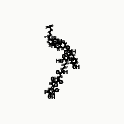 CC(C)CCC[C@@H](C)[C@H]1CC[C@H]2[C@@H]3CC=C4C[C@@H](OC(=O)NC(Cc5ccc(O)cc5)C(=O)N[C@H](CCCCNC(=O)CCC(=O)C5OC(n6cc(F)c(=O)[nH]c6=O)CC5O)C(=O)O)CC[C@]4(C)[C@H]3CC[C@]12C